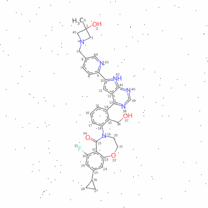 CC1(O)CN(Cc2ccc(-c3cc4c(-c5cccc(N6CCOc7cc(C8CC8)cc(F)c7C6=O)c5CO)ncnc4[nH]3)nc2)C1